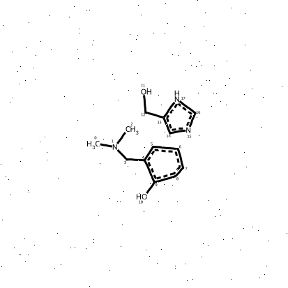 CN(C)Cc1ccccc1O.OCc1cnc[nH]1